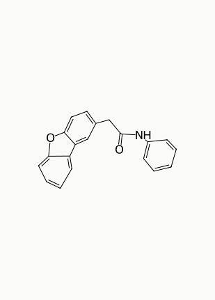 O=C(Cc1ccc2oc3ccccc3c2c1)Nc1ccccc1